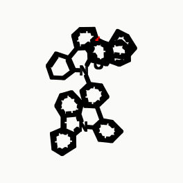 C1=CC(c2cccc3c2oc2ccccc23)=C(N(c2ccc(-c3ccccc3-n3c4ccccc4c4ccccc43)cc2)c2ccc3ccccc3c2)CC1